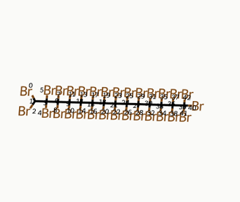 BrC(Br)C(Br)(Br)C(Br)(Br)C(Br)(Br)C(Br)(Br)C(Br)(Br)C(Br)(Br)C(Br)(Br)C(Br)(Br)C(Br)(Br)C(Br)(Br)C(Br)(Br)C(Br)(Br)C(Br)(Br)Br